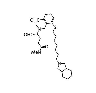 CNC(=O)CCC(C=O)N(C)Cc1c(C=O)cccc1SCCCCCCCN1CC2CCCCC2C1